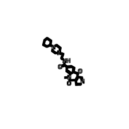 Cn1c(=O)c2ccncc2c(=O)c2ccc(C(=O)NCCN3CCN(C4CCCCC4)CC3)cc21